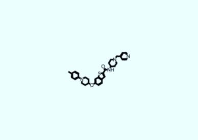 Cc1ccc(N2CCC(Oc3ccc4cc(C(=O)NC5CCN(Cc6ccncc6)CC5)sc4c3)CC2)cc1